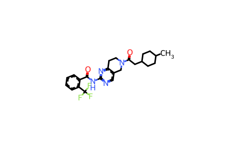 CC1CCC(CC(=O)N2CCc3nc(NC(=O)c4ccccc4C(F)(F)F)ncc3C2)CC1